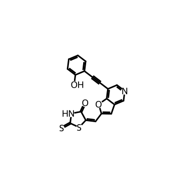 O=C1NC(=S)SC1=Cc1cc2cncc(C#Cc3ccccc3O)c2o1